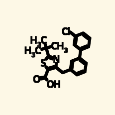 CC(C)(C)c1nc(Cc2cccc(-c3cccc(Cl)c3)c2)c(C(=O)O)s1